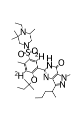 [2H]c1c(C)c(S(=O)(=O)N2CC(C)N(CC)C(C)(C)C2)c([2H])c(-c2nc3c(C(C)CCC)nn(C)c3c(=O)[nH]2)c1OC(C)(C)CC